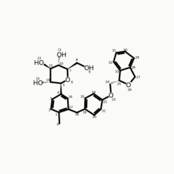 Cc1ccc([C@@H]2O[C@H](CO)[C@@H](O)[C@H](O)[C@H]2O)cc1Cc1ccc(OC[C@H]2OCc3ccccc32)cc1